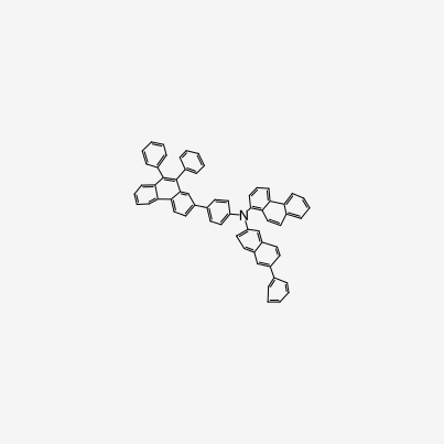 c1ccc(-c2ccc3cc(N(c4ccc(-c5ccc6c(c5)c(-c5ccccc5)c(-c5ccccc5)c5ccccc56)cc4)c4cccc5c4ccc4ccccc45)ccc3c2)cc1